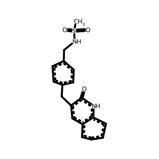 CS(=O)(=O)NCc1ccc(Cc2cc3ccccc3[nH]c2=O)cc1